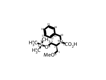 COC[C@@H](CO[Si](C)(C)C)N(Cc1ccccc1)C(=O)O